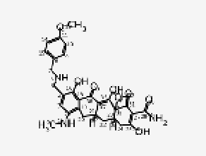 CNc1cc(CNCc2ccc(OC)cc2)c(O)c2c1C[C@H]1C[C@H]3CC(O)=C(C(N)=O)C(=O)[C@@]3(O)C(O)=C1C2=O